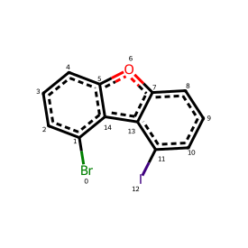 Brc1cccc2oc3cccc(I)c3c12